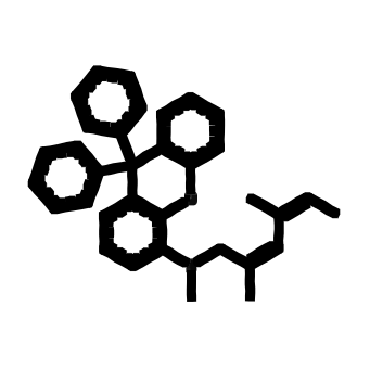 C/C=C(C)\C=C(\C)CB(C)c1cccc2c1Oc1ccccc1C2(c1ccccc1)c1ccccc1